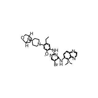 CCc1cc(Nc2ncc(Br)c(Nc3ccc4nccnc4c3P(C)C)n2)c(OC)cc1N1CCC(N2[C@@H]3CC[C@H]2COC3)CC1